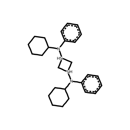 c1ccc(N(C2CCCCC2)[SiH]2C[SiH](N(c3ccccc3)C3CCCCC3)C2)cc1